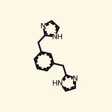 c1cc(Cc2ncc[nH]2)cc(Cc2ncc[nH]2)c1